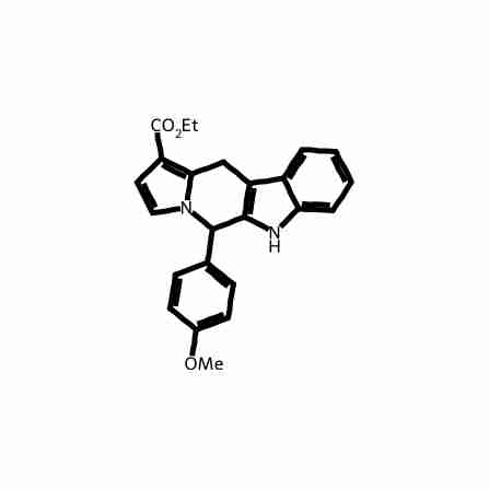 CCOC(=O)c1ccn2c1Cc1c([nH]c3ccccc13)C2c1ccc(OC)cc1